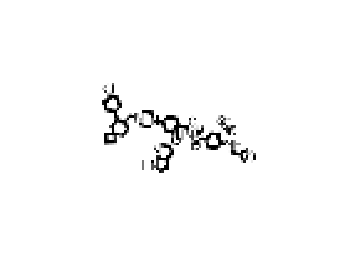 O=C(NS(=O)(=O)c1ccc(NCC2COC2)c([N+](=O)[O-])c1)c1ccc(N2CCN(CC3=C(c4ccc(Cl)cc4)CC4(CCC4)CC3)CC2)cc1Oc1cnc2[nH]ccc2c1